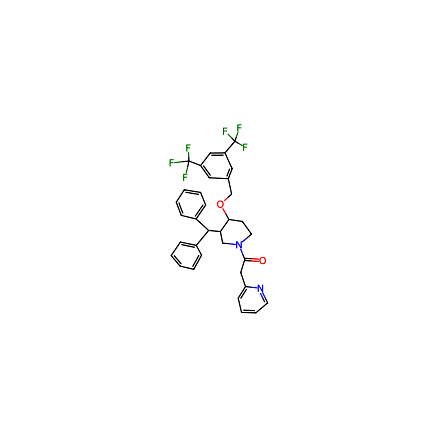 O=C(Cc1ccccn1)N1CCC(OCc2cc(C(F)(F)F)cc(C(F)(F)F)c2)C(C(c2ccccc2)c2ccccc2)C1